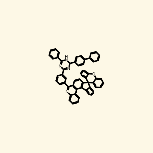 c1ccc(C2=NC(c3cccc(-c4nc5ccccc5c5c6c(ccc45)C4(c5ccccc5Oc5ccccc54)c4ccccc4-6)c3)=NC(c3ccc(-c4ccccc4)cc3)N2)cc1